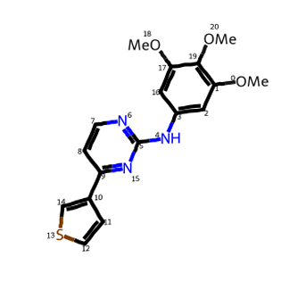 COc1cc(Nc2nccc(-c3ccsc3)n2)cc(OC)c1OC